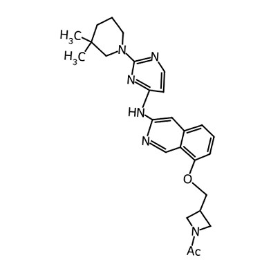 CC(=O)N1CC(COc2cccc3cc(Nc4ccnc(N5CCCC(C)(C)C5)n4)ncc23)C1